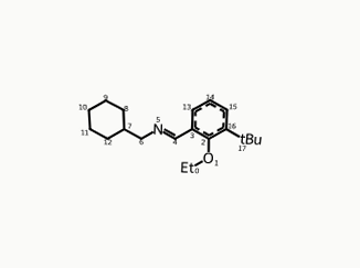 CCOc1c(/C=N/CC2CCCCC2)cccc1C(C)(C)C